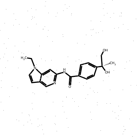 CCn1ccc2cnc(NC(=O)c3ccc([C@](C)(O)CO)cc3)cc21